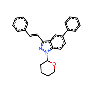 C(=Cc1nn(C2CCCCO2)c2ccc(-c3ccccc3)cc12)c1ccccc1